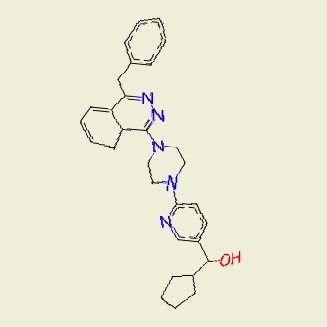 OC(c1ccc(N2CCN(C3=NN=C(Cc4ccccc4)C4=CC=CCC43)CC2)nc1)C1CCCC1